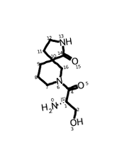 N[C@@H](CO)C(=O)N1CCCC2(CCNC2=O)C1